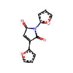 O=C1C=C(c2ccco2)C(=O)N1c1ccco1